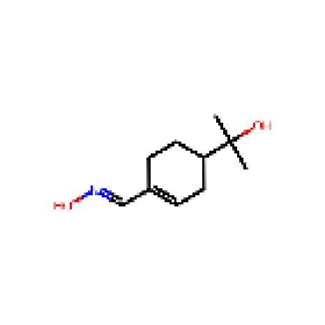 CC(C)(O)C1CC=C(C=NO)CC1